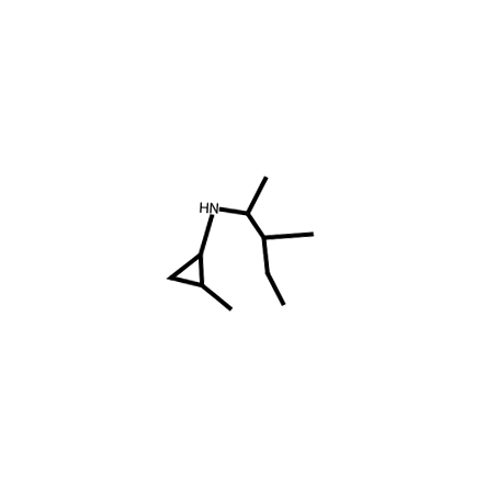 CCC(C)C(C)NC1CC1C